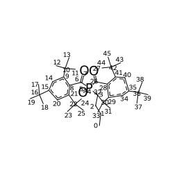 CCCCP(=O)(C(=O)c1c(C(C)(C)C)cc(C(C)(C)C)cc1C(C)(C)C)C(=O)c1c(C(C)(C)C)cc(C(C)(C)C)cc1C(C)(C)C